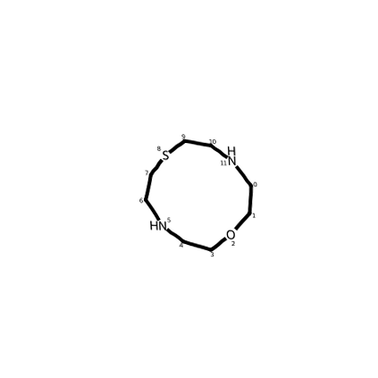 C1COCCNCCSCCN1